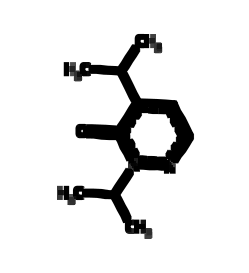 CC(C)c1ccnn(C(C)C)c1=O